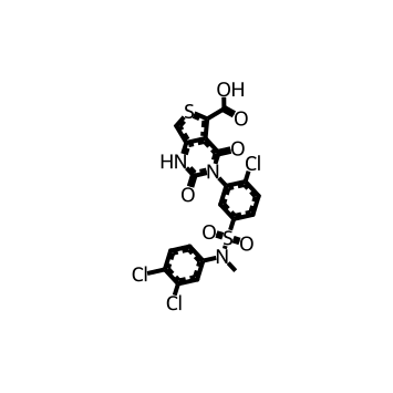 CN(c1ccc(Cl)c(Cl)c1)S(=O)(=O)c1ccc(Cl)c(-n2c(=O)[nH]c3csc(C(=O)O)c3c2=O)c1